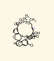 COC(=O)[C@@]1(O)/C=C/C[C@H](C)[C@@H](C)S(=O)(=O)NC(=O)c2ccc3c(c2)N(C[C@@H]2CC[C@H]21)C[C@@]1(CCCC2=CC(Cl)=CCC21C)CO3